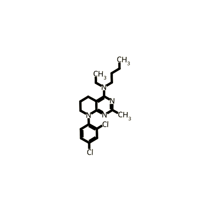 CCCCN(CC)c1nc(C)nc2c1CCCN2c1ccc(Cl)cc1Cl